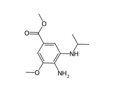 COC(=O)c1cc(NC(C)C)c(N)c(OC)c1